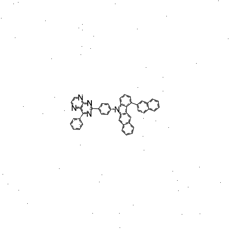 c1ccc(-c2nc(-c3ccc(-n4c5cc6ccccc6cc5c5c(-c6ccc7ccccc7c6)cccc54)cc3)nc3nccnc23)cc1